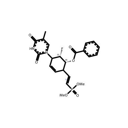 COP(=O)(/C=C/C1C=CC(n2cc(C)c(=O)[nH]c2=O)[C@H](F)[C@@H]1OC(=O)c1ccccc1)OC